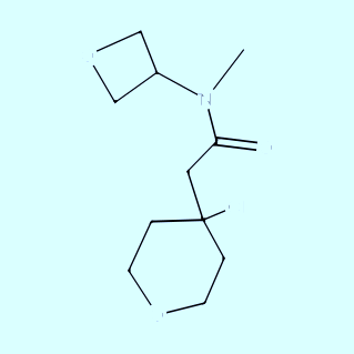 CN(C(=O)CC1(O)CCOCC1)C1COC1